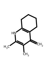 C=C1C(C)=C(C)NC2=C1CCCC2